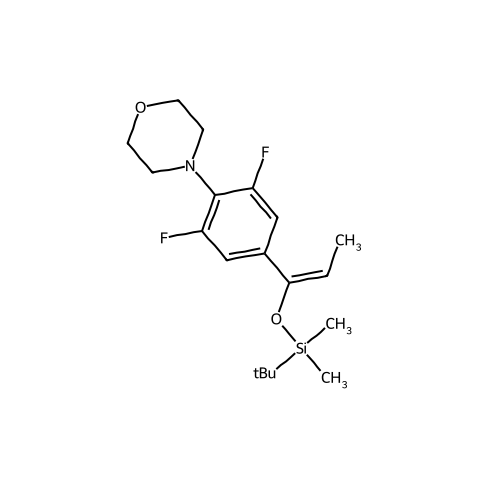 C/C=C(/O[Si](C)(C)C(C)(C)C)c1cc(F)c(N2CCOCC2)c(F)c1